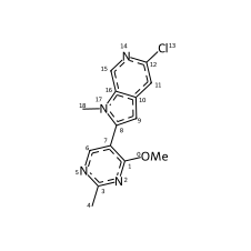 COc1nc(C)ncc1-c1cc2cc(Cl)ncc2n1C